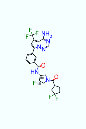 Nc1ncnn2c(-c3cccc(C(=O)N[C@@H]4CN(C(=O)C5CCC(F)(F)C5)C[C@@H]4F)c3)cc(C(F)(F)F)c12